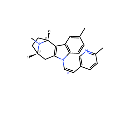 Cc1ccc2c(c1)c1c(n2/C=C\c2ccc(C)nc2)C[C@@H]2CC[C@H]1N2C